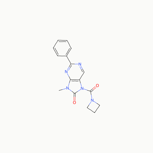 Cn1c(=O)n(C(=O)N2CCC2)c2cnc(-c3ccccc3)nc21